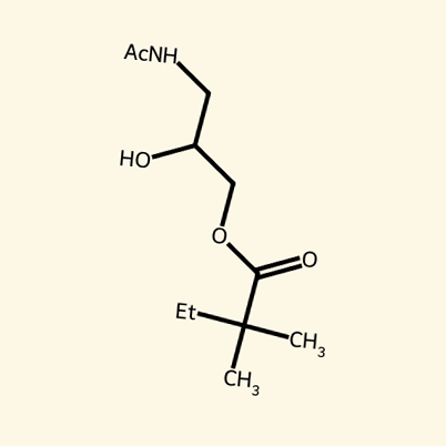 CCC(C)(C)C(=O)OCC(O)CNC(C)=O